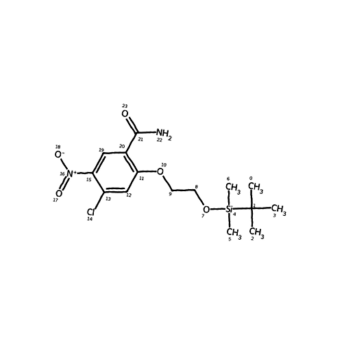 CC(C)(C)[Si](C)(C)OCCOc1cc(Cl)c([N+](=O)[O-])cc1C(N)=O